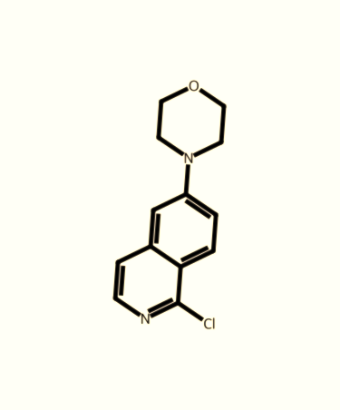 Clc1nccc2cc(N3CCOCC3)ccc12